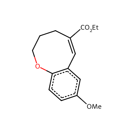 CCOC(=O)C1=Cc2cc(OC)ccc2OCCC1